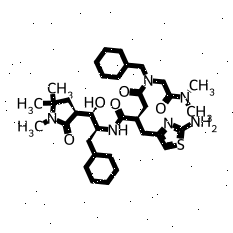 CN(C)C(=O)CN(CC1CCCCC1)C(=O)C[C@@H](Cc1csc(N)n1)C(=O)N[C@@H](CC1CCCCC1)[C@@H](O)[C@@H]1CC(C)(C)N(C)C1=O